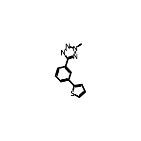 Cn1nnc(-c2cccc(-c3cccs3)c2)n1